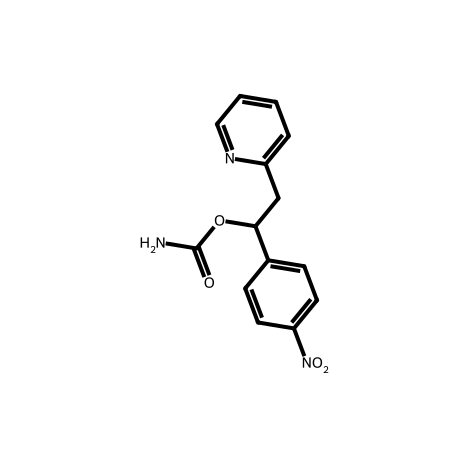 NC(=O)OC(Cc1ccccn1)c1ccc([N+](=O)[O-])cc1